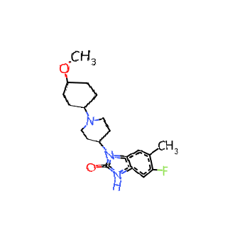 COC1CCC(N2CCC(n3c(=O)[nH]c4cc(F)c(C)cc43)CC2)CC1